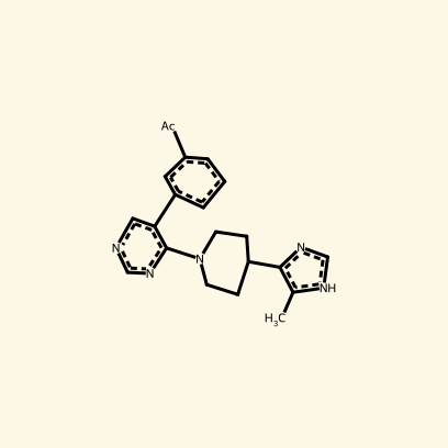 CC(=O)c1cccc(-c2cncnc2N2CCC(c3nc[nH]c3C)CC2)c1